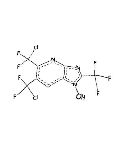 On1c(C(F)(F)F)nc2nc(C(F)(F)Cl)c(C(F)(F)Cl)cc21